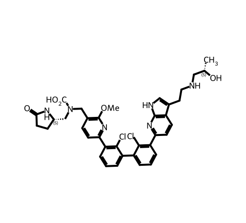 COc1nc(-c2cccc(-c3cccc(-c4ccc5c(CCNC[C@H](C)O)c[nH]c5n4)c3Cl)c2Cl)ccc1CN(C[C@@H]1CCC(=O)N1)C(=O)O